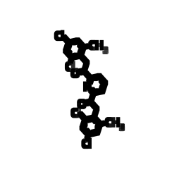 Cc1cc(Cl)cc(Cl)c1CC(=O)c1cccc(C(=O)Cc2c(C)cc(Cl)cc2Cl)n1